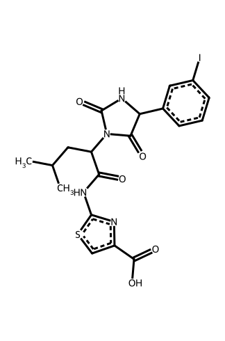 CC(C)CC(C(=O)Nc1nc(C(=O)O)cs1)N1C(=O)NC(c2cccc(I)c2)C1=O